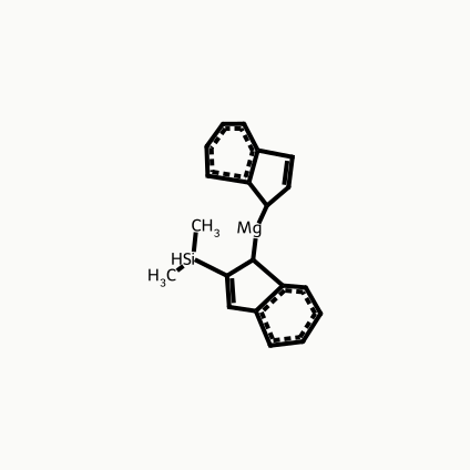 C[SiH](C)C1=Cc2ccccc2[CH]1[Mg][CH]1C=Cc2ccccc21